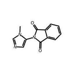 Cn1cncc1N1C(=O)c2ccccc2C1=O